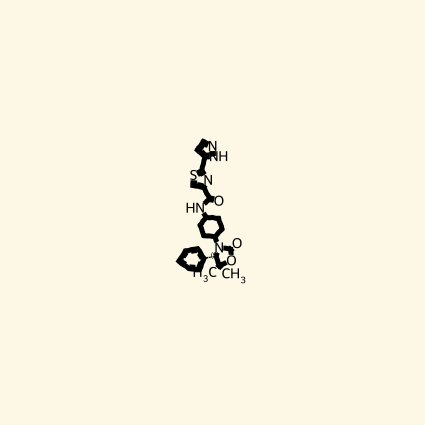 CC1(C)OC(=O)N(C2CCC(NC(=O)c3csc(-c4ccn[nH]4)n3)CC2)[C@H]1c1ccccc1